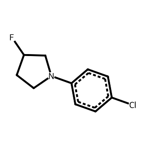 FC1CCN(c2ccc(Cl)cc2)C1